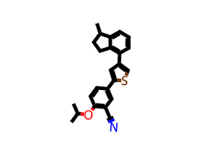 CC(C)Oc1ccc(-c2cc(-c3cccc4c3CCC4C)cs2)cc1C#N